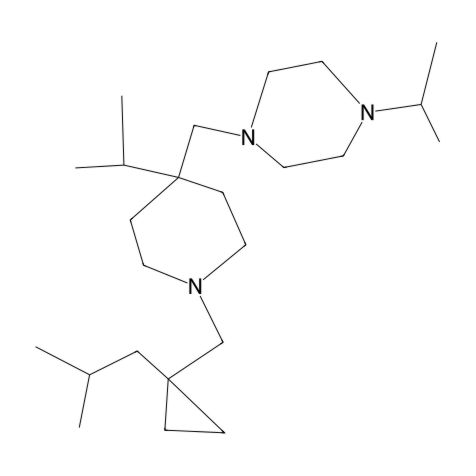 CC(C)CC1(CN2CCC(CN3CCN(C(C)C)CC3)(C(C)C)CC2)CC1